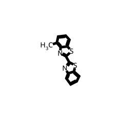 Cc1cccc2sc(-c3nc4ccccc4s3)nc12